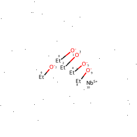 CC[O-].CC[O-].CC[O-].CC[O-].CC[O-].[Nb+5]